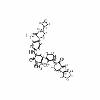 CCc1c(-c2cc(Nc3ccc(N4CCN(C5COC5)C[C@H]4C)cn3)c(=O)n(C)c2)ccnc1N1CCn2c(cc3c2CCCC3)C1=O